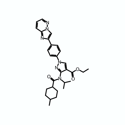 CCOC(=O)c1cn(-c2ccc(-c3cn4ncccc4n3)cc2)nc1N(C(=O)C1CCC(C)CC1)C(C)C